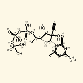 C#CC1(O)[C@@H](O)[C@@H]([C@@H](C)OP(=O)(O)OP(=O)(O)OP(=O)(O)O)O[C@H]1n1c(C)cc(N)nc1=O